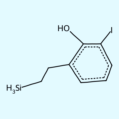 Oc1c(I)cccc1CC[SiH3]